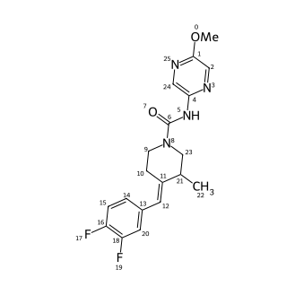 COc1cnc(NC(=O)N2CCC(=Cc3ccc(F)c(F)c3)C(C)C2)cn1